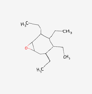 CCC1C(CC)C(CC)C2OC2C1CC